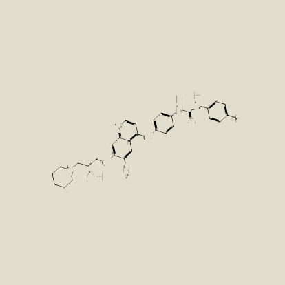 [C-]#[N+]c1cc2c(Oc3ccc(NC(=O)Nc4ccc(F)cc4)cc3)ccnc2cc1OC[C@H](O)CN1CCCCC1